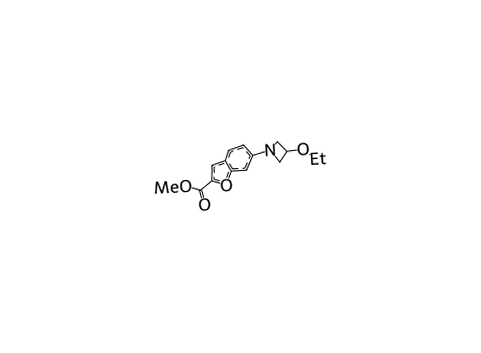 CCOC1CN(c2ccc3cc(C(=O)OC)oc3c2)C1